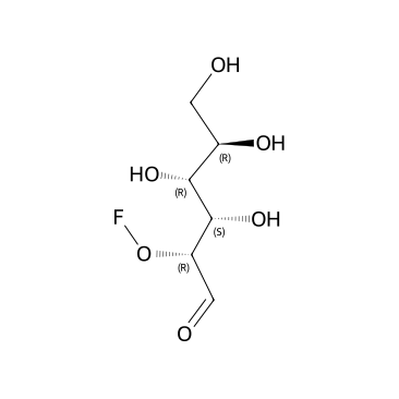 O=C[C@H](OF)[C@@H](O)[C@H](O)[C@H](O)CO